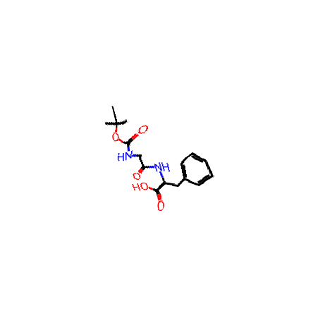 CC(C)(C)OC(=O)NCC(=O)NC(Cc1ccccc1)C(=O)O